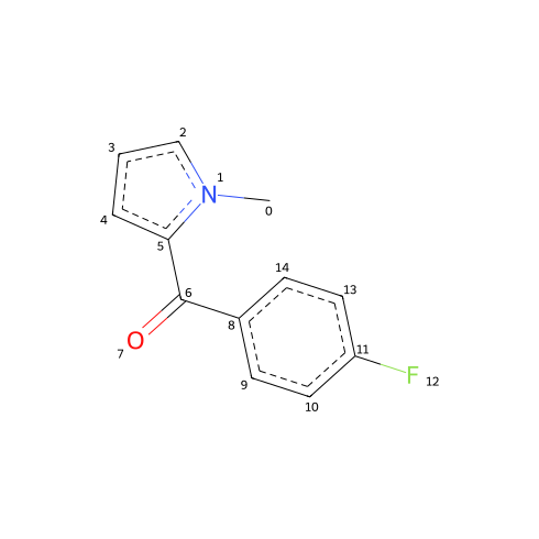 Cn1cccc1C(=O)c1ccc(F)cc1